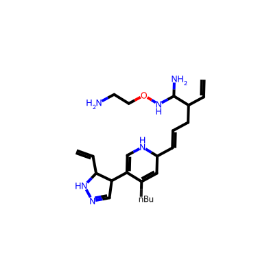 C=CC(C/C=C/C1C=C(CCCC)C(C2C=NNC2C=C)=CN1)C(N)NOCCN